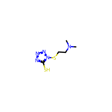 CN(C)CCSn1nnnc1S